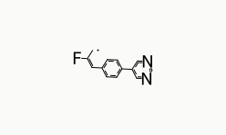 [CH2]/C(F)=C\c1ccc(-c2cncnc2)cc1